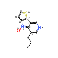 CCCC1C=NC=C2C1=[N+]([O-])c1ccsc12